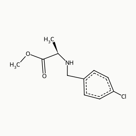 COC(=O)[C@@H](C)NCc1ccc(Cl)cc1